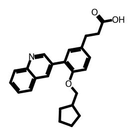 O=C(O)CCc1ccc(OCC2CCCC2)c(-c2cnc3ccccc3c2)c1